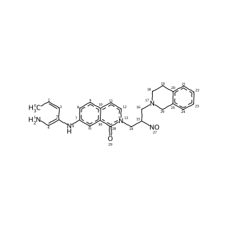 C/C=C\C(=C/N)Nc1ccc2ccn(CC(CN3CCc4ccccc4C3)N=O)c(=O)c2c1